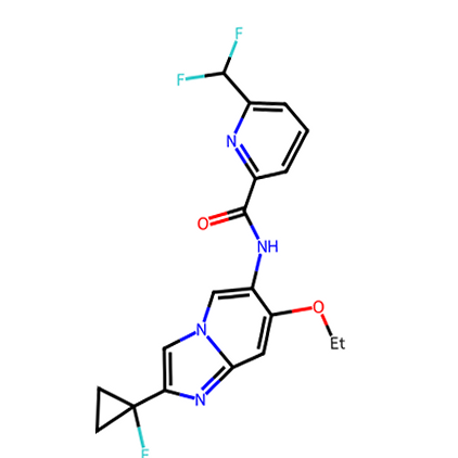 CCOc1cc2nc(C3(F)CC3)cn2cc1NC(=O)c1cccc(C(F)F)n1